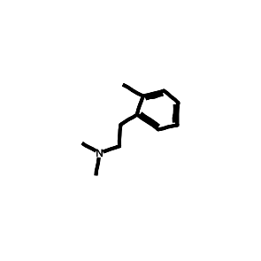 Cc1ccccc1CCN(C)C